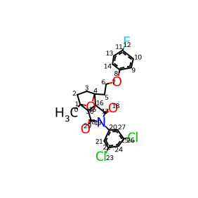 CC12CCC(CCOc3ccc(F)cc3)(O1)C1C(=O)N(c3cc(Cl)cc(Cl)c3)C(=O)C12